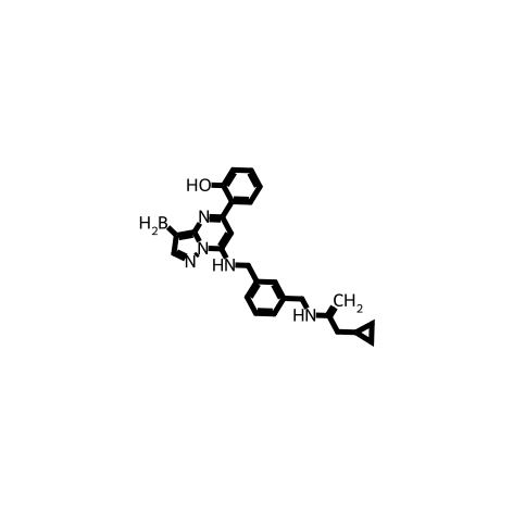 Bc1cnn2c(NCc3cccc(CNC(=C)CC4CC4)c3)cc(-c3ccccc3O)nc12